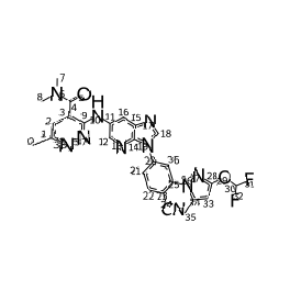 Cc1cc(C(=O)N(C)C)c(Nc2cnc3c(c2)ncn3-c2ccc(C#N)c(-n3nc(OC(F)F)cc3C)c2)nn1